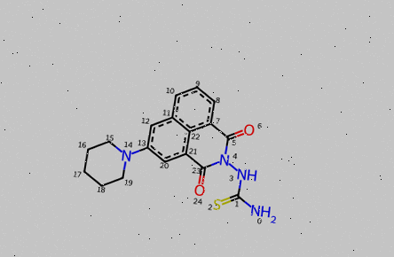 NC(=S)NN1C(=O)c2cccc3cc(N4CCCCC4)cc(c23)C1=O